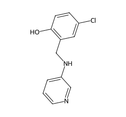 Oc1ccc(Cl)cc1CNc1cccnc1